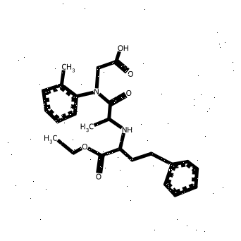 CCOC(=O)C(CCc1ccccc1)NC(C)C(=O)N(CC(=O)O)c1ccccc1C